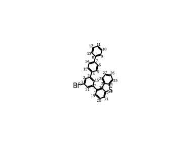 Brc1cc(-c2ccc(-c3ccccc3)cc2)cc(-c2cccc3sc4ccccc4c23)c1